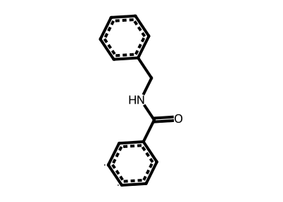 O=C(NCc1ccccc1)c1c[c][c]cc1